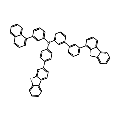 c1cc(-c2cccc(N(c3ccc(-c4ccc5c(c4)oc4ccccc45)cc3)c3cccc(-c4cccc5ccccc45)c3)c2)cc(-c2cccc3c2sc2ccccc23)c1